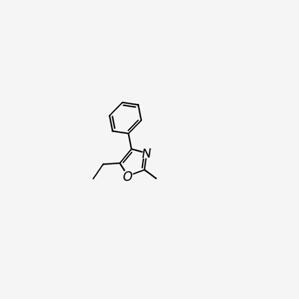 CCc1oc(C)nc1-c1ccccc1